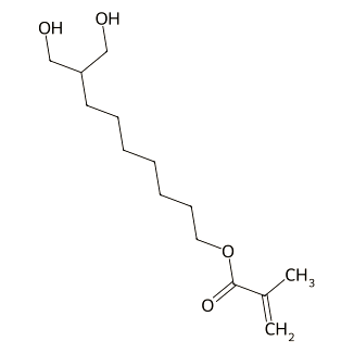 C=C(C)C(=O)OCCCCCCCC(CO)CO